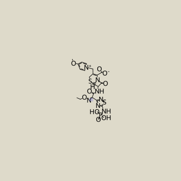 CCO/N=C(\C(=O)NC1C(=O)N2C(C(=O)[O-])=C(C[n+]3ccc(OC)cc3)CS[C@H]12)c1nsc(NP(=O)(O)O)n1